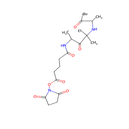 CCC(C)C(=O)C(C)NC(C)(CC)C(=O)C(C)NC(=O)CCCC(=O)ON1C(=O)CCC1=O